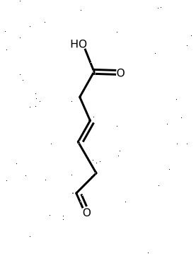 O=[C]C/C=C/CC(=O)O